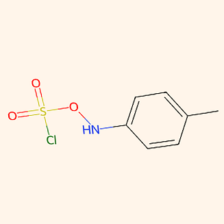 Cc1ccc(NOS(=O)(=O)Cl)cc1